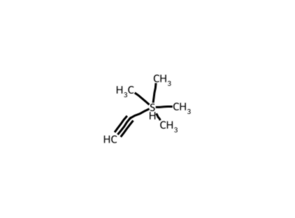 C#C[SH](C)(C)(C)C